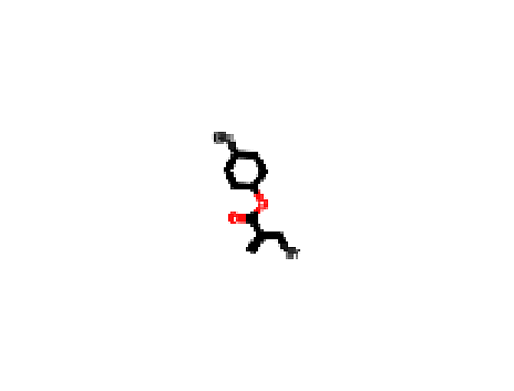 C=C(CC(C)C)C(=O)OC1CCC(C(C)(C)C)CC1